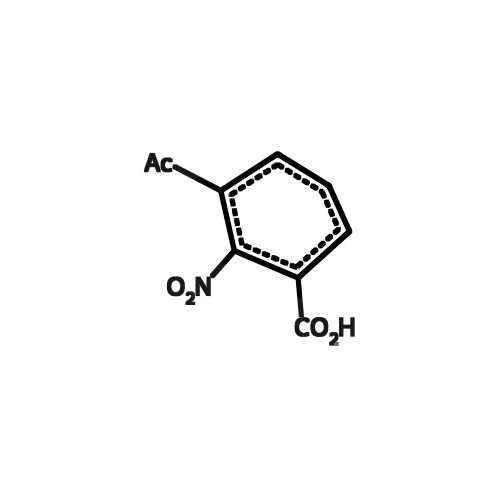 CC(=O)c1cccc(C(=O)O)c1[N+](=O)[O-]